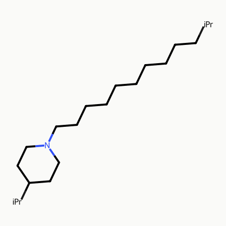 CC(C)CCCCCCCCCCN1CCC(C(C)C)CC1